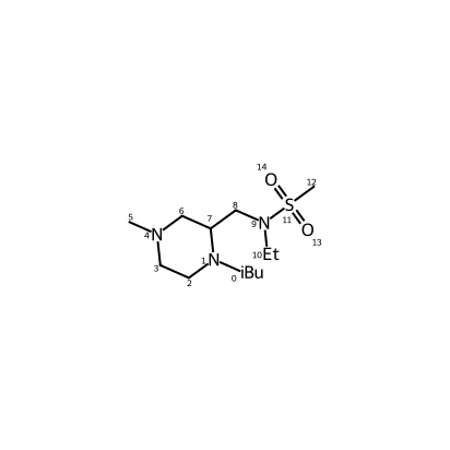 CCC(C)N1CCN(C)CC1CN(CC)S(C)(=O)=O